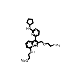 COCCNc1cccc2c(-c3ccnc(NC4CCCC4)n3)c(COCCOC)nn12